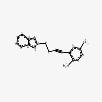 Cc1ccc(N)c(C#CCCn2nc3ccccc3n2)n1